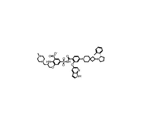 Cc1ccccc1[C@@H]1CCCN1C1CC2(CCN(c3ccc(C(=O)NS(=O)(=O)c4cc5c(c([N+](=O)[O-])c4)N[C@H](CN4CCN(C)CC4)CO5)c(Oc4cnc5[nH]ccc5c4)c3)CC2)C1